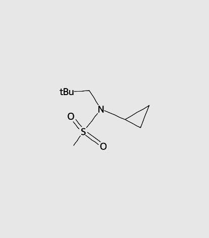 CC(C)(C)CN(C1CC1)S(C)(=O)=O